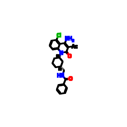 CC(=O)c1c(N)c2c(Cl)cccc2n([C@H]2CCC[C@@H](CNC(=O)c3ccccc3)C2)c1=O